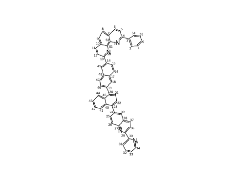 c1ccc(-c2ccc3ccc4ccc(-c5ccc6cc(-c7ccc(-c8ccc9nc(-c%10ccccn%10)ccc9c8)c8ccccc78)ccc6c5)nc4c3n2)cc1